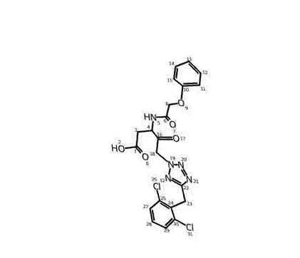 O=C(O)CC(NC(=O)COc1ccccc1)C(=O)Cn1nnc(Cc2c(Cl)cccc2Cl)n1